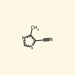 Cc1ncsc1C#N